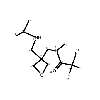 CC(C)NCC1(CN(C)C(=O)C(F)(F)F)COC1